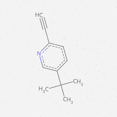 C#Cc1ccc(C(C)(C)C)cn1